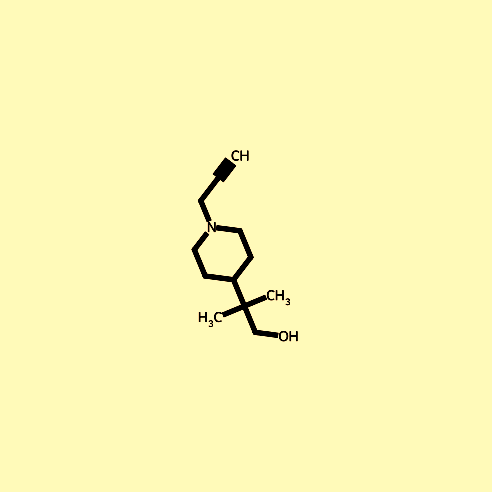 C#CCN1CCC(C(C)(C)CO)CC1